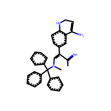 CC(=N)/C(=C\N(C)C(c1ccccc1)(c1ccccc1)c1ccccc1)c1ccc2c(c1)C(N)=CCN2